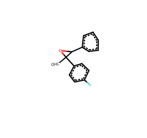 O=CC1(c2ccc(F)cc2)OC1c1ccccc1